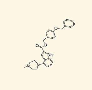 CN1CCN(c2cccc3[nH]c(C(=O)OCc4ccc(OCc5ccccc5)cc4)cc23)CC1